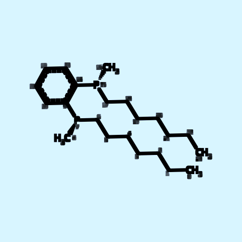 CCCCCCC[P@@](C)c1ccccc1[P@](C)CCCCCCC